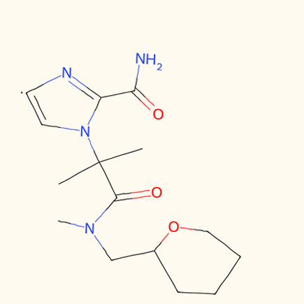 CN(CC1CCCCO1)C(=O)C(C)(C)n1c[c]nc1C(N)=O